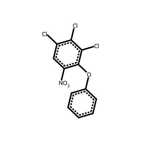 O=[N+]([O-])c1cc(Cl)c(Cl)c(Cl)c1Oc1ccccc1